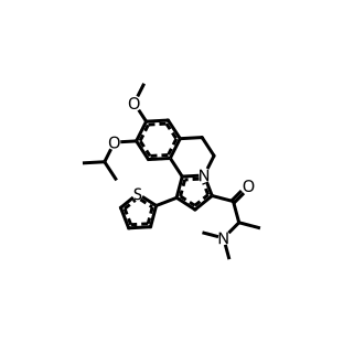 COc1cc2c(cc1OC(C)C)-c1c(-c3cccs3)cc(C(=O)C(C)N(C)C)n1CC2